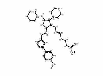 COc1ccc(-c2csc(COC3CC(OC4CCCCO4)C(N4CCOCC4)C3CC=CCCCC(=O)O)c2)cc1